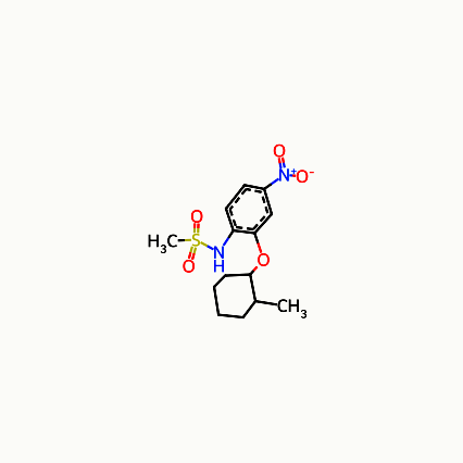 CC1CCCCC1Oc1cc([N+](=O)[O-])ccc1NS(C)(=O)=O